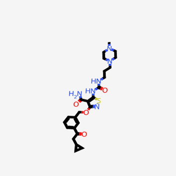 CN1CCN(CCCNC(=O)Nc2snc(OCc3cccc(C(=O)CC4CC4)c3)c2C(N)=O)CC1